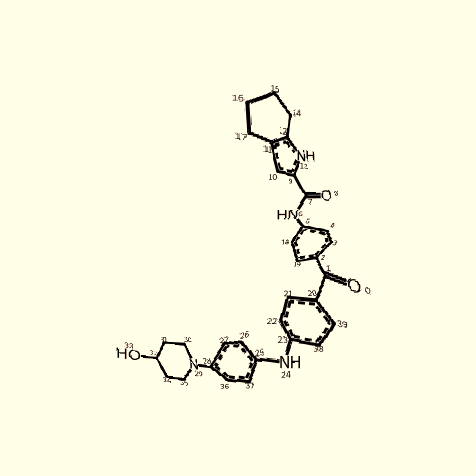 O=C(c1ccc(NC(=O)c2cc3c([nH]2)CCCC3)cc1)c1ccc(Nc2ccc(N3CCC(O)CC3)cc2)cc1